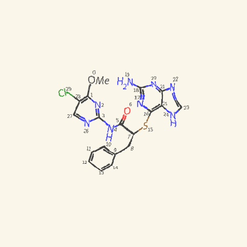 COc1nc(NC(=O)[C@H](Cc2ccccc2)Sc2nc(N)nc3nc[nH]c23)ncc1Cl